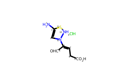 Cl.NC1=CN(C(C=O)=CCC(=O)O)NS1